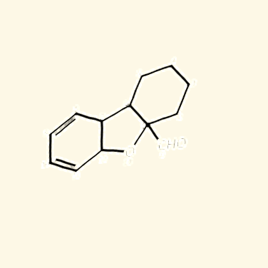 O=CC12CCCCC1C1C=CC=CC1O2